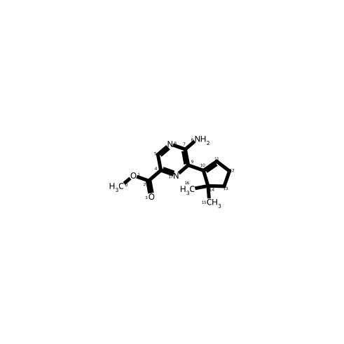 COC(=O)c1cnc(N)c(C2=CCCC2(C)C)n1